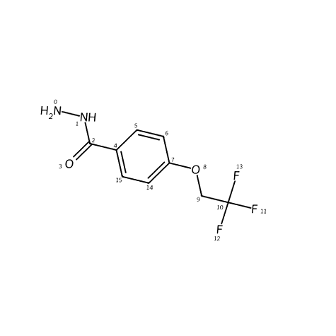 NNC(=O)c1ccc(OCC(F)(F)F)cc1